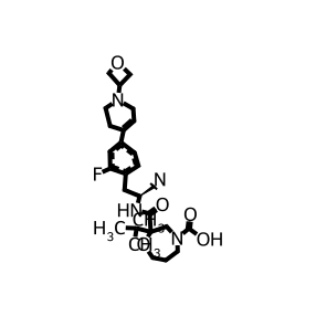 CC(C)(C)C1(C(=O)N[C@H](C#N)Cc2ccc(C3=CCN(C4COC4)CC3)cc2F)CN(C(=O)O)CCCO1